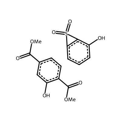 COC(=O)c1ccc(C(=O)OC)c(O)c1.O=S1(=O)c2cccc(O)c21